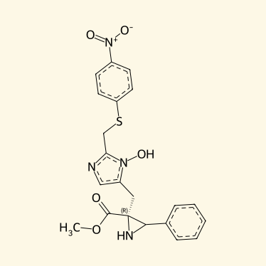 COC(=O)[C@]1(Cc2cnc(CSc3ccc([N+](=O)[O-])cc3)n2O)NC1c1ccccc1